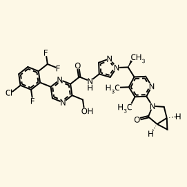 Cc1c([C@H](C)n2cc(NC(=O)c3nc(-c4c(C(F)F)ccc(Cl)c4F)cnc3CO)cn2)cnc(N2C[C@H]3C[C@H]3C2=O)c1C